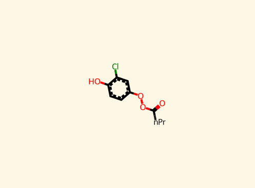 CCCC(=O)OOc1ccc(O)c(Cl)c1